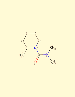 CC1CCCCN1C(=O)N(C)C